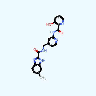 Cc1ccc2nc(C(=O)NCc3ccnc(NC(=O)c4ncccc4O)c3)[nH]c2c1